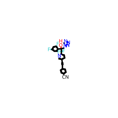 N#Cc1ccc(C#Cc2ccc(C(F)(F)C(O)(Cn3cnnn3)c3ccc(F)cc3F)nc2)cc1